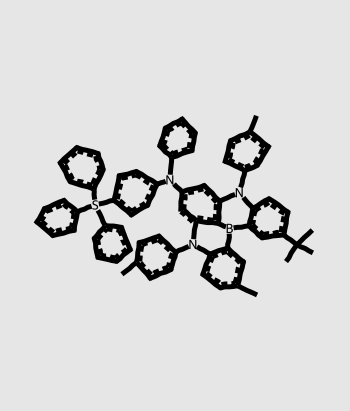 Cc1ccc(N2c3ccc(C)cc3B3c4cc(C(C)(C)C)ccc4N(c4ccc(C)cc4)c4cc(N(c5ccccc5)c5ccc(S(c6ccccc6)(c6ccccc6)c6ccccc6)cc5)cc2c43)cc1